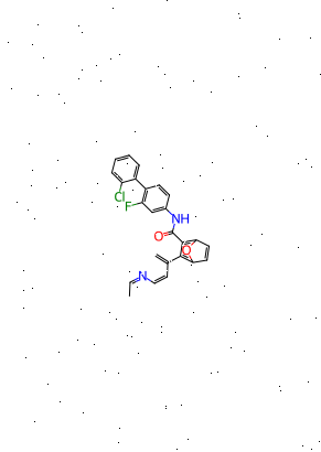 C=C(/C=C\N=C/C)c1c(C(=O)Nc2ccc(-c3ccccc3Cl)c(F)c2)c2ccc1o2